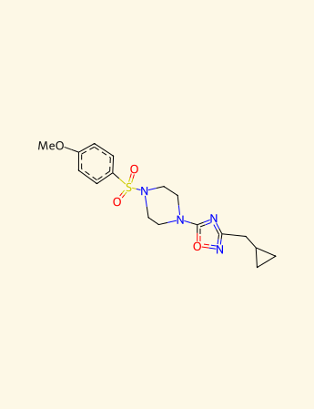 COc1ccc(S(=O)(=O)N2CCN(c3nc(CC4CC4)no3)CC2)cc1